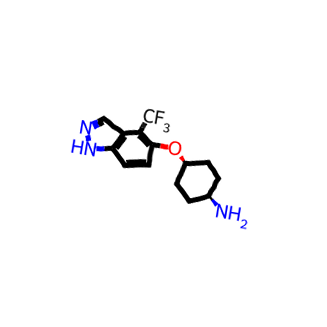 N[C@H]1CC[C@@H](Oc2ccc3[nH]ncc3c2C(F)(F)F)CC1